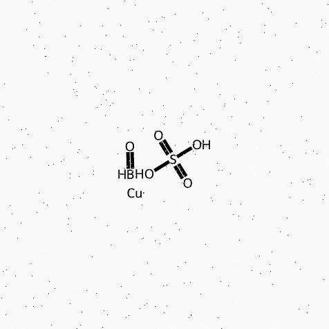 B=O.O=S(=O)(O)O.[Cu]